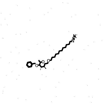 CC1OC(COCCCCCCCCCCCCN=[N+]=[N-])[C@@H](C)[C@H](C)C1OCc1ccccc1